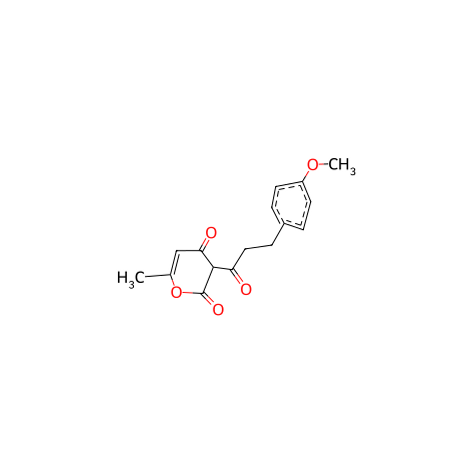 COc1ccc(CCC(=O)C2C(=O)C=C(C)OC2=O)cc1